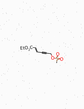 CCOC(=O)C=CC#CCOS(C)(=O)=O